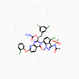 CC(=O)N(c1nn(C)c2c(-n3c([C@H](Cc4cc(F)cc(F)c4)OC(N)=O)nc4nc(Oc5ccccc5F)ccc4c3=O)ccc(Cl)c12)S(C)(=O)=O